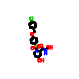 O=C(NO)C1CC(O)CCN1S(=O)(=O)c1ccc(OCc2ccc(Cl)cc2)cc1